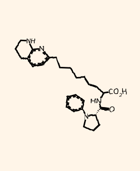 O=C(O)C(CCCCCCCc1ccc2c(n1)NCCC2)NC(=O)[C@@H]1CCCN1c1ccccc1